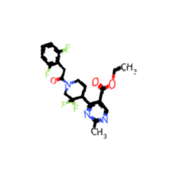 CCOC(=O)c1cnc(C)nc1C1CCN(C(=O)Cc2c(F)cccc2F)CC1(F)F